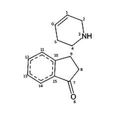 C1=CCNCC1.O=C1CCc2ccccc21